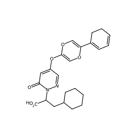 O=C(O)C(CC1CCCCC1)n1ncc(OC2=COC(C3=CC=CCC3)=CO2)cc1=O